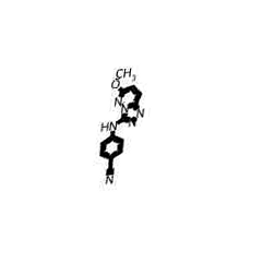 COc1ccc2nnc(Nc3ccc(C#N)cc3)n2n1